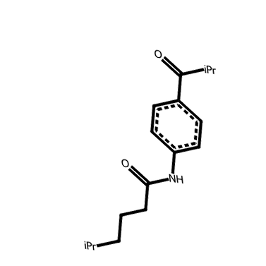 CC(C)CCCC(=O)Nc1ccc(C(=O)C(C)C)cc1